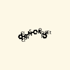 CCOc1cccnc1OCC(=O)N1CCC(c2nc(C3=NOC(c4c(Cl)cccc4Cl)C3)cs2)CC1